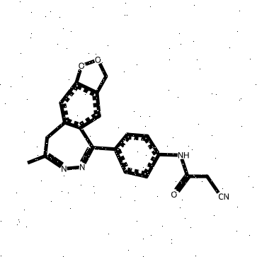 CC1=NN=C(c2ccc(NC(=O)CC#N)cc2)c2cc3c(cc2C1)OOC3